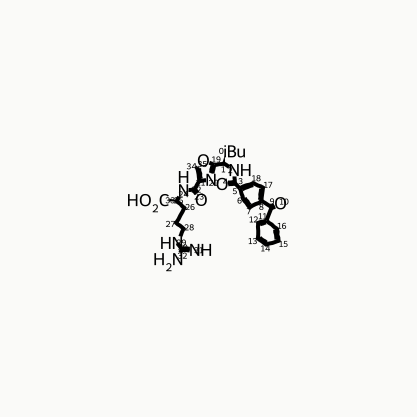 CC[C@H](C)C(NC(=O)c1ccc(C(=O)c2ccccc2)cc1)c1nc(C(=O)N[C@@H](CCCNC(=N)N)C(=O)O)co1